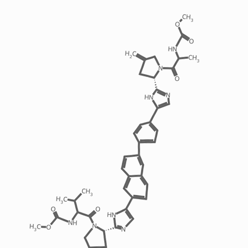 C=C1C[C@@H](c2ncc(-c3ccc(-c4ccc5cc(-c6cnc([C@@H]7CCCN7C(=O)C(NC(=O)OC)C(C)C)[nH]6)ccc5c4)cc3)[nH]2)N(C(=O)C(C)NC(=O)OC)C1